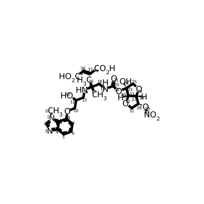 Cn1cnc2cccc(OCC(O)CNC(C)(C)CNC(=O)O[C@@]3(O)CO[C@@H]4[C@H](O[N+](=O)[O-])CO[C@@H]43)c21.O=C(O)/C=C/C(=O)O